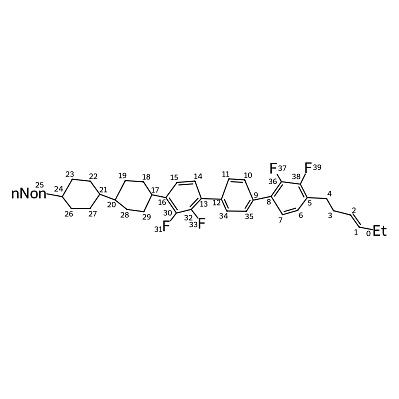 CC/C=C/CCc1ccc(-c2ccc(-c3ccc(C4CCC(C5CCC(CCCCCCCCC)CC5)CC4)c(F)c3F)cc2)c(F)c1F